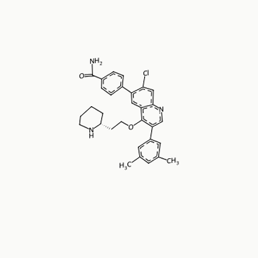 Cc1cc(C)cc(-c2cnc3cc(Cl)c(-c4ccc(C(N)=O)cc4)cc3c2OCC[C@H]2CCCCN2)c1